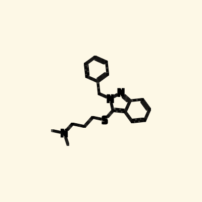 CN(C)CCCSc1c2ccccc2nn1Cc1ccccc1